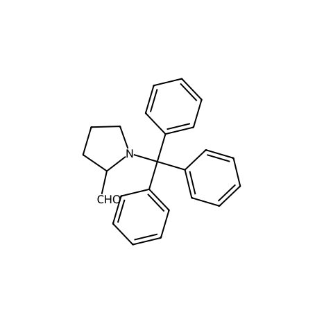 O=CC1CCCN1C(c1ccccc1)(c1ccccc1)c1ccccc1